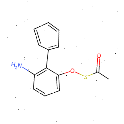 CC(=O)SOc1cccc(N)c1-c1ccccc1